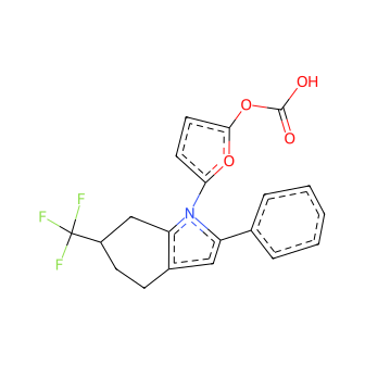 O=C(O)Oc1ccc(-n2c(-c3ccccc3)cc3c2CC(C(F)(F)F)CC3)o1